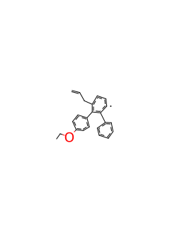 C=CCc1cc[c]c(-c2ccccc2)c1-c1ccc(OCC)cc1